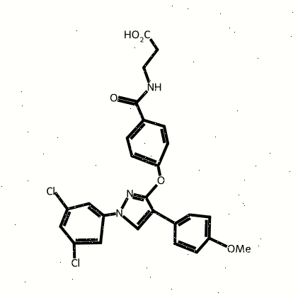 COc1ccc(-c2cn(-c3cc(Cl)cc(Cl)c3)nc2Oc2ccc(C(=O)NCCC(=O)O)cc2)cc1